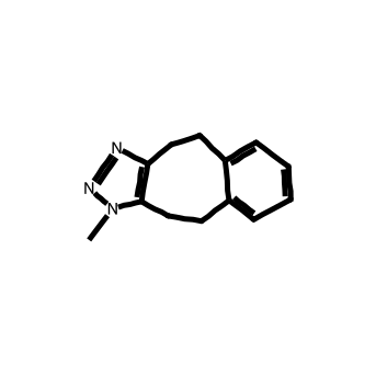 Cn1nnc2c1CCc1ccccc1CC2